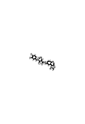 Cc1nc2cnc3ccc(CNC(=O)c4cncn(Cc5ccc(F)c(F)c5)c4=O)cc3c2n1C